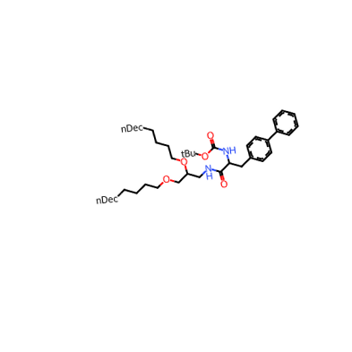 CCCCCCCCCCCCCCOCC(CNC(=O)C(Cc1ccc(-c2ccccc2)cc1)NC(=O)OC(C)(C)C)OCCCCCCCCCCCCCC